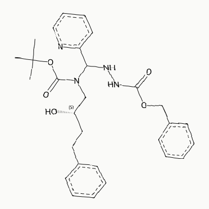 CC(C)(C)OC(=O)N(C[C@@H](O)CCc1ccccc1)C(NNC(=O)OCc1ccccc1)c1ccccn1